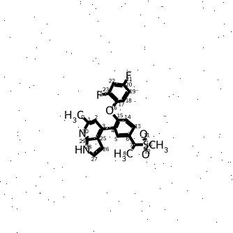 Cc1cc(-c2cc(C(C)S(C)(=O)=O)ccc2Oc2ccc(F)cc2F)c2cc[nH]c2n1